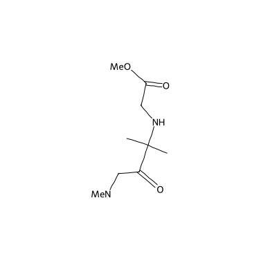 CNCC(=O)C(C)(C)NCC(=O)OC